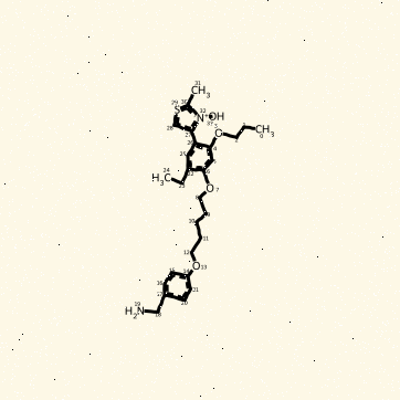 CCCOc1cc(OCCCCCOc2ccc(CN)cc2)c(CC)cc1-c1csc(C)[n+]1O